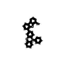 Brc1cccc2c1oc1c(-c3ccc4c(c3)Oc3ccccc3N4c3ccccc3)cccc12